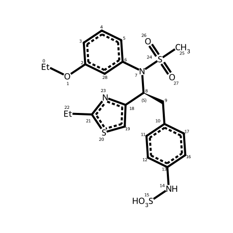 CCOc1cccc(N([C@@H](Cc2ccc(NS(=O)(=O)O)cc2)c2csc(CC)n2)S(C)(=O)=O)c1